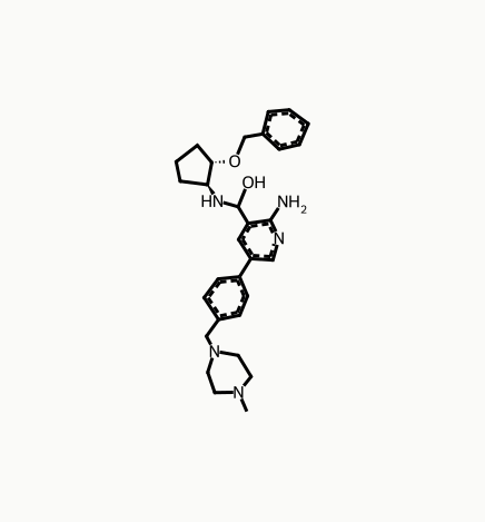 CN1CCN(Cc2ccc(-c3cnc(N)c(C(O)N[C@H]4CCC[C@@H]4OCc4ccccc4)c3)cc2)CC1